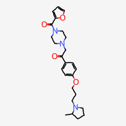 CC1CCCN1CCCOc1ccc(C(=O)CN2CCN(C(=O)c3ccco3)CC2)cc1